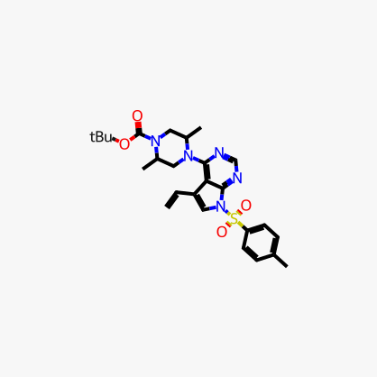 C=Cc1cn(S(=O)(=O)c2ccc(C)cc2)c2ncnc(N3CC(C)N(C(=O)OC(C)(C)C)CC3C)c12